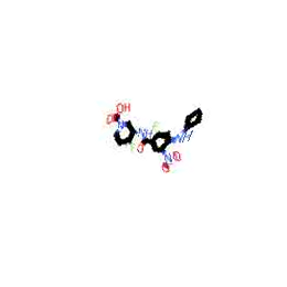 O=C(N[C@H]1CN(C(=O)O)CC[C@@H]1F)c1cc([N+](=O)[O-])c(NC2CCC2)cc1F